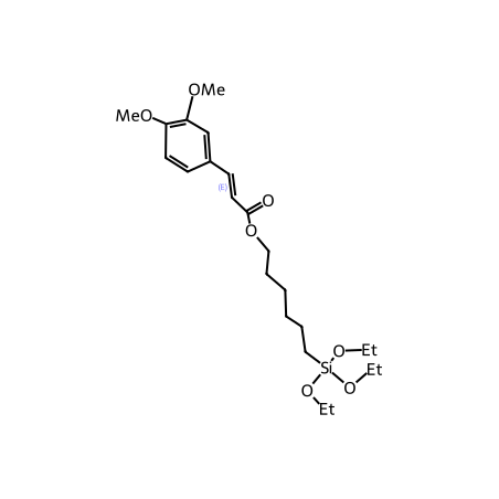 CCO[Si](CCCCCCOC(=O)/C=C/c1ccc(OC)c(OC)c1)(OCC)OCC